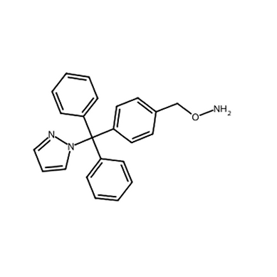 NOCc1ccc(C(c2ccccc2)(c2ccccc2)n2cccn2)cc1